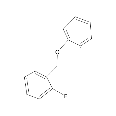 Fc1ccccc1COc1[c]cccc1